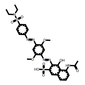 CCN(CC)S(=O)(=O)c1ccc(/N=N/c2cc(OC)c(/N=N/c3c(S(=O)(=O)O)cc4cccc(NC(C)=O)c4c3O)cc2OC)cc1